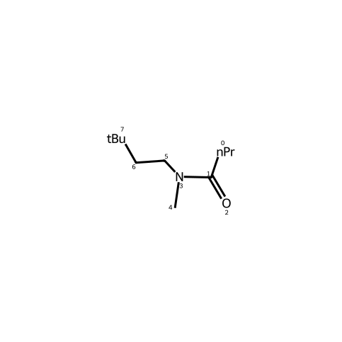 CCCC(=O)N(C)CCC(C)(C)C